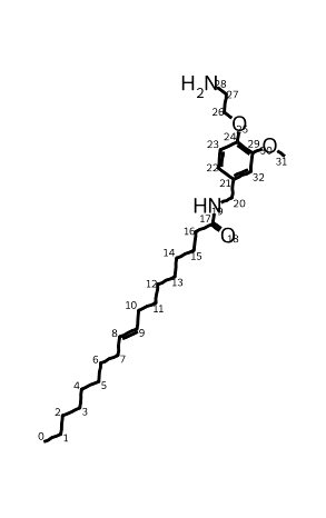 CCCCCCCCC=CCCCCCCCC(=O)NCc1ccc(OCCN)c(OC)c1